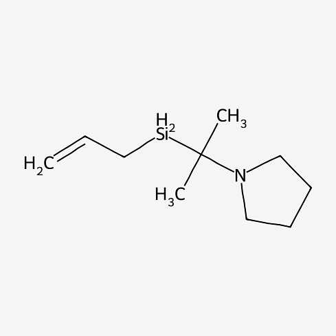 C=CC[SiH2]C(C)(C)N1CCCC1